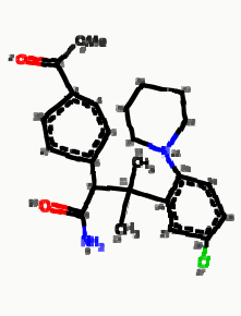 COC(=O)c1ccc(C(C(N)=O)C(C)(C)c2cc(Cl)ccc2N2CCCCC2)cc1